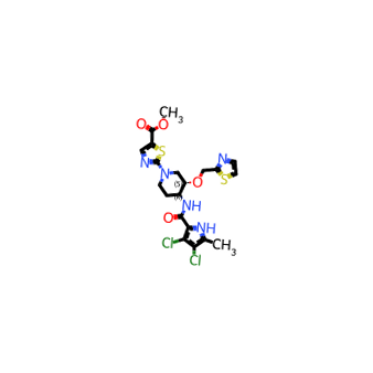 COC(=O)c1cnc(N2CC[C@@H](NC(=O)c3[nH]c(C)c(Cl)c3Cl)[C@@H](OCc3nccs3)C2)s1